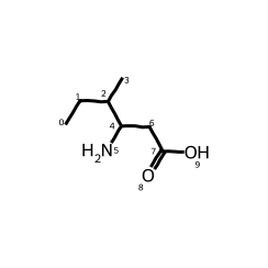 CCC(C)C(N)CC(=O)O